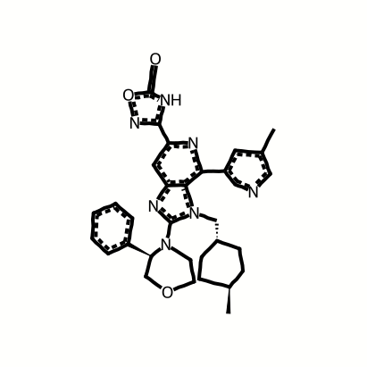 Cc1cncc(-c2nc(-c3noc(=O)[nH]3)cc3nc(N4CCOC[C@H]4c4ccccc4)n(C[C@H]4CC[C@H](C)CC4)c23)c1